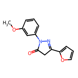 COc1cccc(N2N=C(c3ccco3)CC2=O)c1